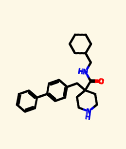 O=C(NCC1CCCCC1)C1(Cc2ccc(-c3ccccc3)cc2)CCNCC1